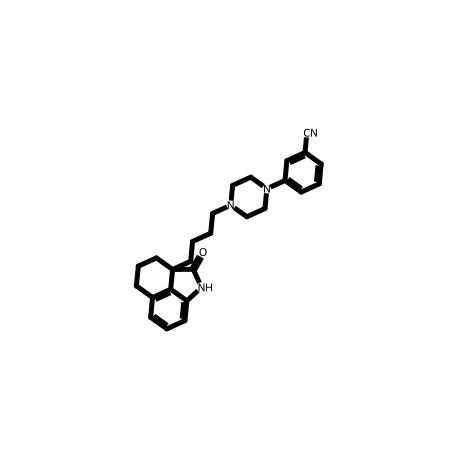 N#Cc1cccc(N2CCN(CCCCC34CCCc5cccc(c53)NC4=O)CC2)c1